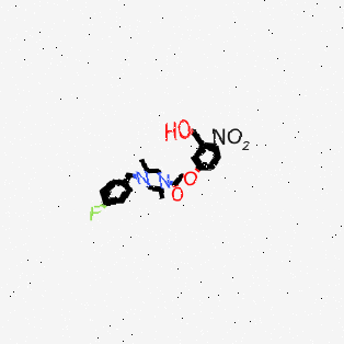 CC1CN(C(=O)COc2ccc([N+](=O)[O-])c(CO)c2)C(C)CN1Cc1ccc(F)cc1